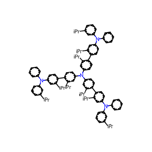 CC(C)c1cccc(N(c2ccccc2)c2ccc(-c3ccc(N(c4ccc(-c5ccc(N(c6ccccc6)c6cccc(C(C)C)c6)cc5C(C)C)c(C(C)C)c4)c4ccc(-c5ccc(N(c6ccccc6)c6cccc(C(C)C)c6)cc5C(C)C)c(C(C)C)c4)cc3C(C)C)c(C(C)C)c2)c1